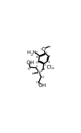 COc1ccc(C[N+](C)(CCO)CCO)cc1N.[Cl-]